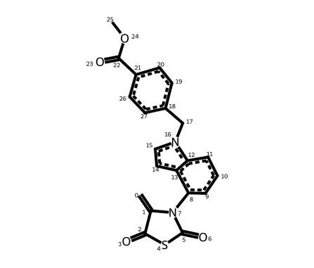 C=C1C(=O)SC(=O)N1c1cccc2c1ccn2Cc1ccc(C(=O)OC)cc1